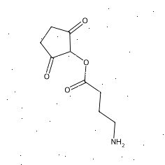 NCCCC(=O)OC1C(=O)CCC1=O